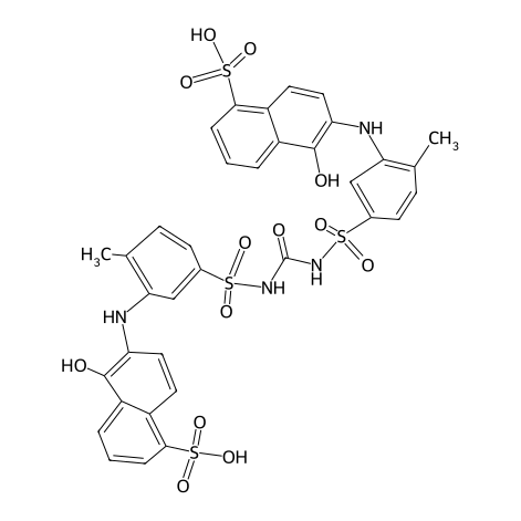 Cc1ccc(S(=O)(=O)NC(=O)NS(=O)(=O)c2ccc(C)c(Nc3ccc4c(S(=O)(=O)O)cccc4c3O)c2)cc1Nc1ccc2c(S(=O)(=O)O)cccc2c1O